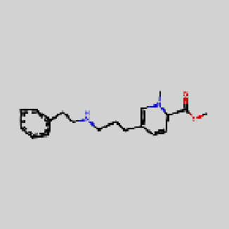 COC(=O)C1C=CC(CCCNCCc2ccccc2)=CN1C